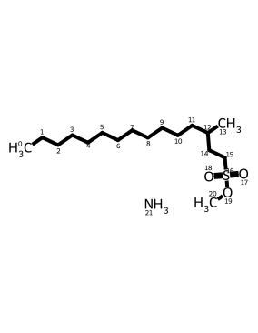 CCCCCCCCCCCCC(C)CCS(=O)(=O)OC.N